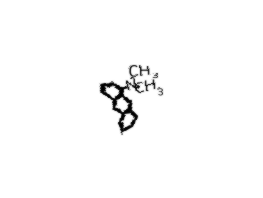 CN(C)c1cccc2cc3c[c]ccc3cc12